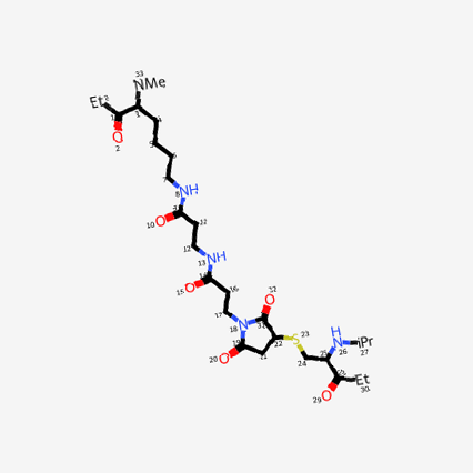 CCC(=O)C(CCCCNC(=O)CCNC(=O)CCN1C(=O)CC(SCC(NC(C)C)C(=O)CC)C1=O)NC